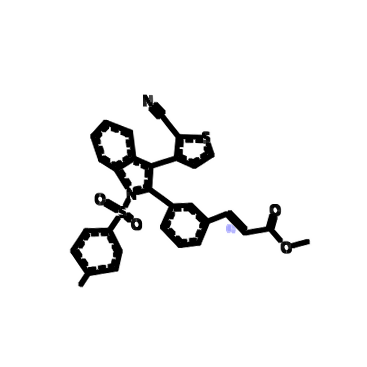 COC(=O)/C=C/c1cccc(-c2c(-c3ccsc3C#N)c3ccccc3n2S(=O)(=O)c2ccc(C)cc2)c1